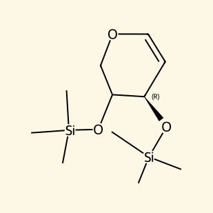 C[Si](C)(C)OC1COC=C[C@H]1O[Si](C)(C)C